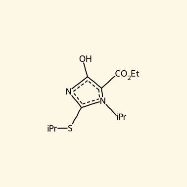 CCOC(=O)c1c(O)nc(SC(C)C)n1C(C)C